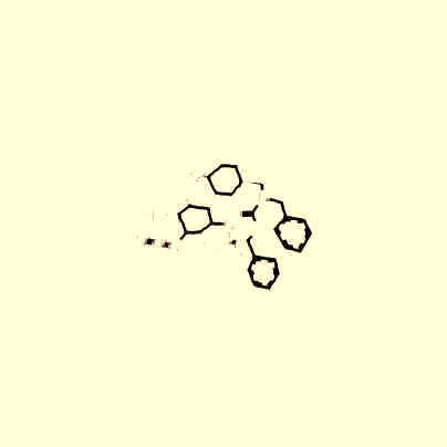 [N-]=[N+]=NC1[C@H](O)C(N=[N+]=[N-])[C@H](O)[C@@H](O)[C@@H]1C1C[C@H](CN(Cc2ccccc2)C(=O)OCc2ccccc2)CC[C@H]1N